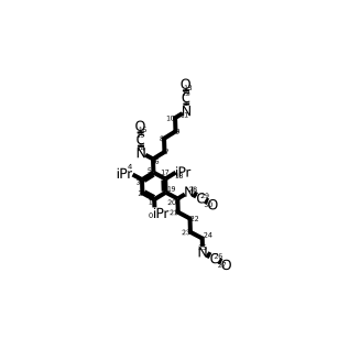 CC(C)c1cc(C(C)C)c(C(CCCCN=C=O)N=C=O)c(C(C)C)c1C(CCCCN=C=O)N=C=O